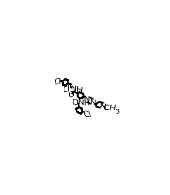 CN1CCC(N2CCN(c3ccc(C(=O)NCCc4ccc(Cl)cc4Cl)cc3NC(=O)c3cccc(Cl)c3)CC2)CC1